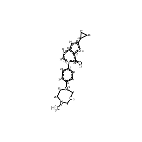 CN1CCCN(c2ccc(-n3cnc4cc(C5CC5)sc4c3=O)cc2)CC1